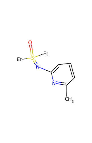 CCS(=O)(CC)=Nc1cccc(C)n1